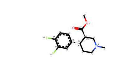 COC(=O)[C@H]1CN(C)CC[C@@H]1c1ccc(F)c(F)c1